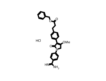 COC1=C(c2ccc(CCC(=O)OCc3ccccc3)cc2)C(=O)N(c2ccc(C(=N)N)cc2)C1.Cl